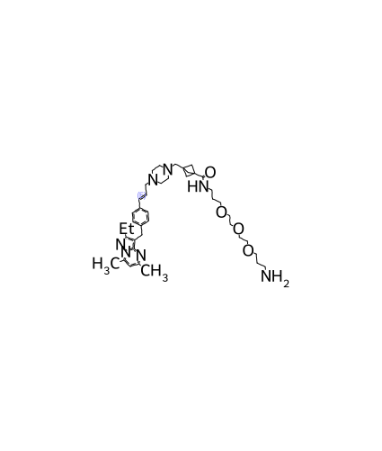 CCc1nn2c(C)cc(C)nc2c1Cc1ccc(/C=C/CN2CCN(CC34CC(C(=O)NCCCOCCOCCOCCCN)(C3)C4)CC2)cc1